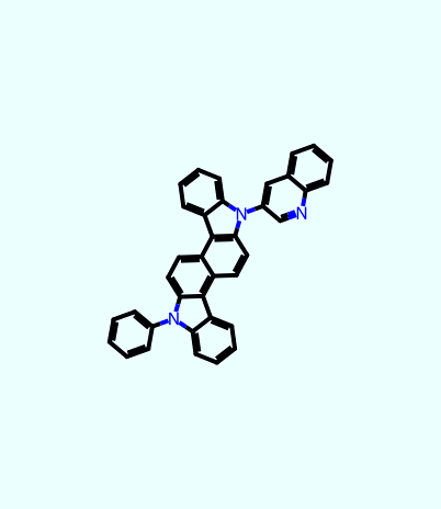 c1ccc(-n2c3ccccc3c3c4ccc5c(c4ccc32)c2ccccc2n5-c2cnc3ccccc3c2)cc1